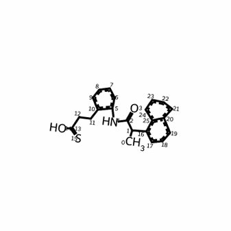 CC(C(=O)Nc1ccccc1CCC(O)=S)c1cccc2ccccc12